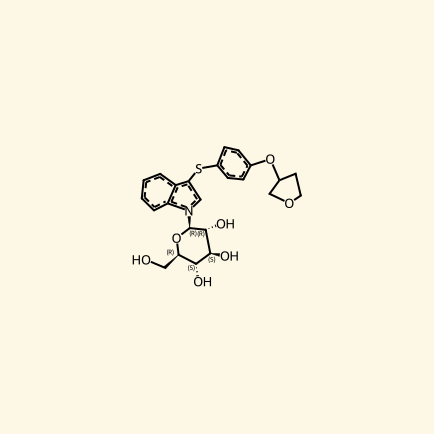 OC[C@H]1O[C@@H](n2cc(Sc3ccc(OC4CCOC4)cc3)c3ccccc32)[C@H](O)[C@@H](O)[C@@H]1O